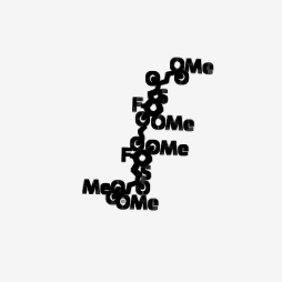 COC(=O)CCC(=O)c1cc2c(F)c(OCCCOc3c(OC)cc4sc(C(=O)CCP(=O)(OC)OC)cc4c3F)c(OC)cc2s1